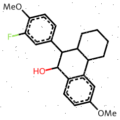 COc1ccc2c(c1)C1CCCCC1C(c1ccc(OC)c(F)c1)C2O